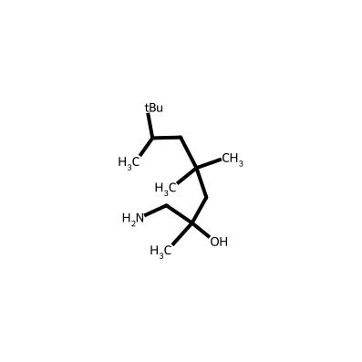 CC(CC(C)(C)CC(C)(O)CN)C(C)(C)C